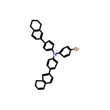 Brc1ccc(N(c2ccc(-c3ccc4c(c3)CCC=C4)cc2)c2ccc(-c3ccc4c(c3)CCCC4)cc2)cc1